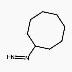 N=NC1[CH]CCCCCC1